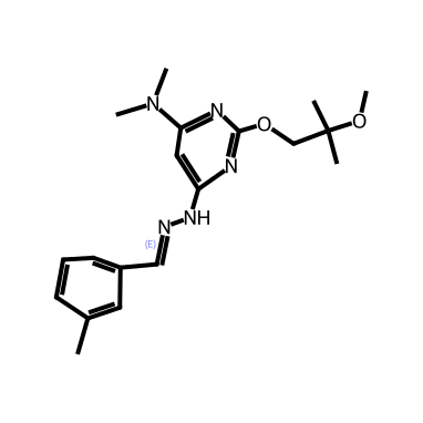 COC(C)(C)COc1nc(N/N=C/c2cccc(C)c2)cc(N(C)C)n1